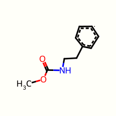 COC(=O)NCCc1cc[c]cc1